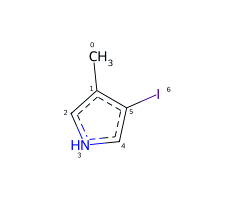 Cc1c[nH]cc1I